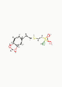 O=S(=O)(Cl)CCSCCc1ccc2c(c1)OCO2